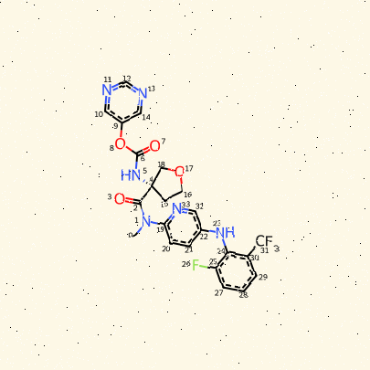 CN(C(=O)[C@]1(NC(=O)Oc2cncnc2)CCOC1)c1ccc(Nc2c(F)cccc2C(F)(F)F)cn1